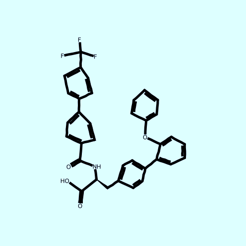 O=C(N[C@@H](Cc1ccc(-c2ccccc2Oc2ccccc2)cc1)C(=O)O)c1ccc(-c2ccc(C(F)(F)F)cc2)cc1